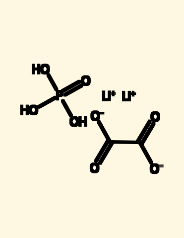 O=C([O-])C(=O)[O-].O=P(O)(O)O.[Li+].[Li+]